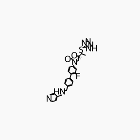 CC(Sc1nnn[nH]1)[C@H]1CN(c2ccc(-c3ccc(CNCc4ccncc4)cc3)c(F)c2)C(=O)O1